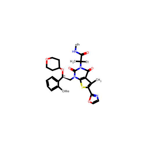 CCCNC(=O)C(C)(CC)n1c(=O)c2c(C)c(-c3ncco3)sc2n(C[C@H](OC2CCOCC2)c2ccccc2OC)c1=O